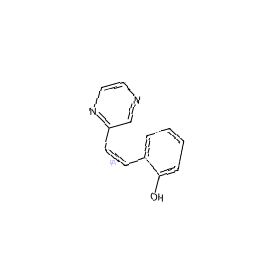 Oc1ccccc1/C=C\c1cnccn1